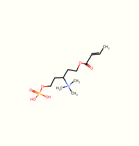 CC=CC(=O)OCCC(CCOP(=O)(O)O)[N+](C)(C)C